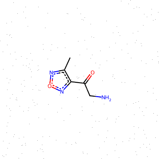 Cc1nonc1C(=O)CN